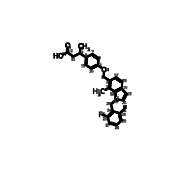 Cc1c(COc2ccc(C(C)CC(=O)O)cc2)ccc2ccn(Cc3c(F)cccc3F)c12